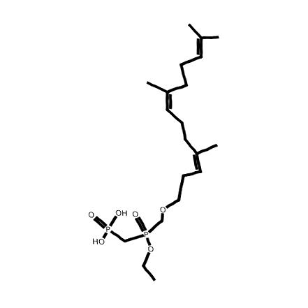 CCOP(=O)(COCCC=C(C)CCC=C(C)CCC=C(C)C)CP(=O)(O)O